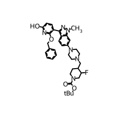 Cn1nc(-c2ccc(O)nc2OCc2ccccc2)c2ccc(N3CCN(CC4CCN(C(=O)OC(C)(C)C)CC4F)CC3)cc21